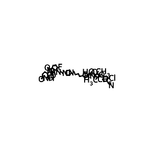 CC1(C)C(NC(=O)c2ccc(CCCCN3CCN(CCNc4c(F)ccc5c4C(=O)N(C4CCC(=O)NC4=O)C5=O)CC3)cc2)C(C)(C)C1Oc1ccc(C#N)c(Cl)c1